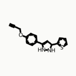 C#CCOc1ccc(C2=CC(c3cccs3)NN2)cc1